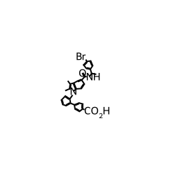 Cc1c(C)n(Cc2ccccc2-c2ccc(C(=O)O)cc2)c2ccc(C(=O)NC(C)c3ccc(Br)cc3)cc12